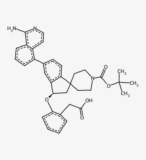 CC(C)(C)OC(=O)N1CCC2(CC1)C[C@@H](Oc1ccccc1CC(=O)O)c1cc(-c3cccc4c(N)nccc34)ccc12